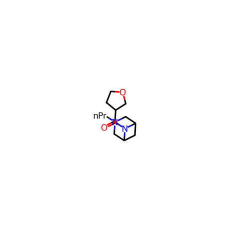 CCCN1CC2CC(C1)N2C(=O)C1CCOC1